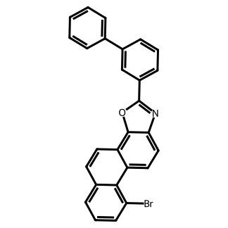 Brc1cccc2ccc3c(ccc4nc(-c5cccc(-c6ccccc6)c5)oc43)c12